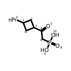 CCCC1CC(C(=O)CP(=O)(O)O)C1